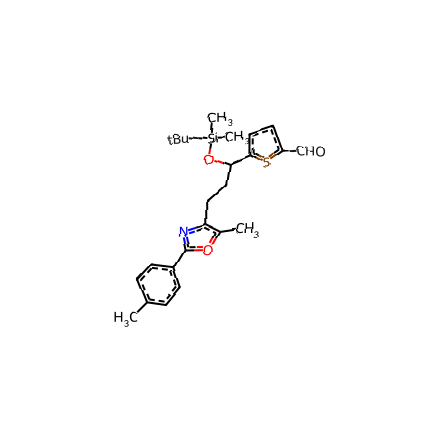 Cc1ccc(-c2nc(CCC(O[Si](C)(C)C(C)(C)C)c3ccc(C=O)s3)c(C)o2)cc1